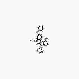 Cl.Cl.Nc1ncnc2c1n(-c1ccc(Oc3ccccc3)cc1)c(=O)n2[C@@H]1CCCNC1